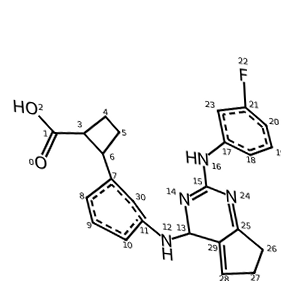 O=C(O)C1CCC1c1cccc(NC2N=C(Nc3cccc(F)c3)N=C3CCC=C32)c1